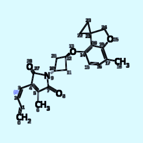 C=C/C=C\C1=C(C)C(=O)N([C@H]2C[C@H](Oc3ccc(C)c4c3C3(CC3)CO4)C2)C1=O